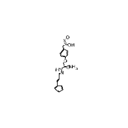 N.O=NN(O)Cc1ccc(OCC(=O)NN=CC=Cc2ccccc2)cc1